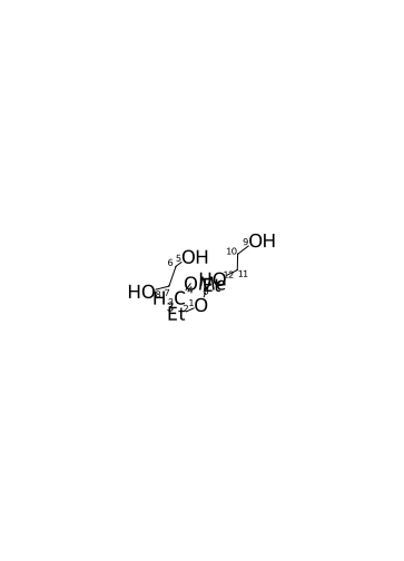 CCOCC.COC.OCCO.OCCO